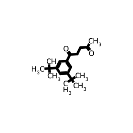 CC(=O)CCC(=O)c1cc(C(C)(C)C)cc(C(C)(C)C)c1